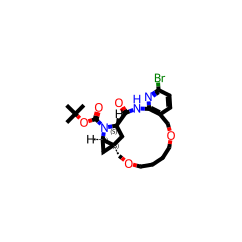 CC(C)(C)OC(=O)N1[C@H]2C[C@@]3(COCCCCOCc4ccc(Br)nc4NC2=O)C[C@@H]13